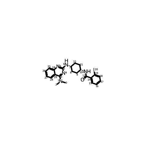 CN(C)c1nc(N[C@H]2CC[C@@H](NC(=O)c3ccccc3I)CC2)nc2ccccc12